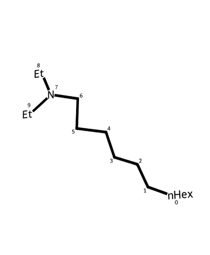 [CH2]CCCCCCCCCCCN(CC)CC